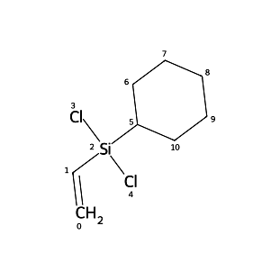 C=C[Si](Cl)(Cl)C1CCCCC1